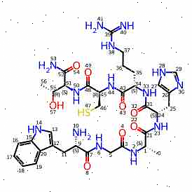 C[C@H](NC(=O)CNC(=O)[C@@H](N)Cc1c[nH]c2ccccc12)C(=O)N[C@@H](Cc1c[nH]cn1)C(=O)N[C@@H](CCCNC(=N)N)C(=O)N[C@@H](CS)C(=O)N[C@H](C(N)=O)[C@@H](C)O